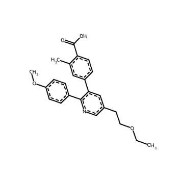 CCOCCc1cnc(-c2ccc(OC)cc2)c(-c2ccc(C(=O)O)c(C)c2)c1